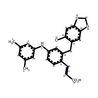 Cc1cc(C)nc(Nc2ccc(/C=C/C(=O)O)c(Cc3cc4c(cc3Cl)OCO4)c2)c1